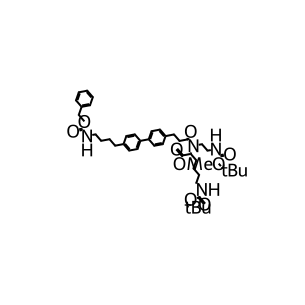 COC(=O)C(CCCCNC(=O)OC(C)(C)C)N(CCNC(=O)OC(C)(C)C)C(=O)CCc1ccc(-c2ccc(CCCCNC(=O)OCc3ccccc3)cc2)cc1